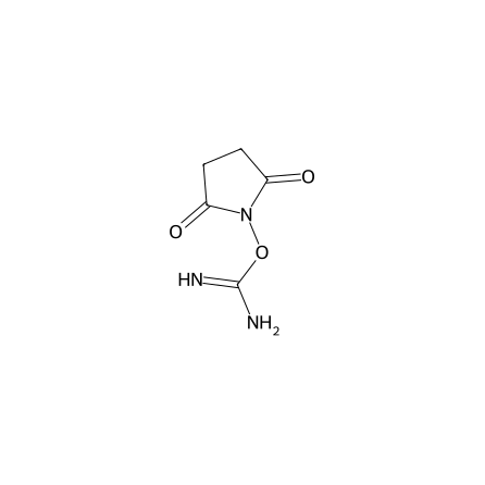 N=C(N)ON1C(=O)CCC1=O